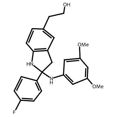 COc1cc(NC2(c3ccc(F)cc3)[CH]c3cc(CCO)ccc3N2)cc(OC)c1